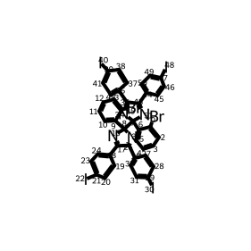 Brc1ccccc1C1(C2(c3ccccc3Br)N=C(c3ccc(I)cc3)C(c3ccc(I)cc3)=N2)N=C(c2ccc(I)cc2)C(c2ccc(I)cc2)=N1